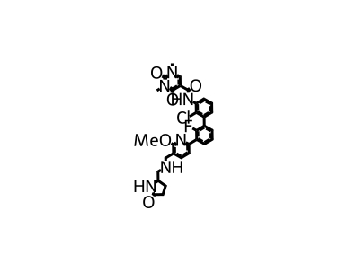 COc1nc(-c2cccc(-c3cccc(NC(=O)c4cn(C)c(=O)n(C)c4=O)c3Cl)c2F)ccc1CNCC1CCC(=O)N1